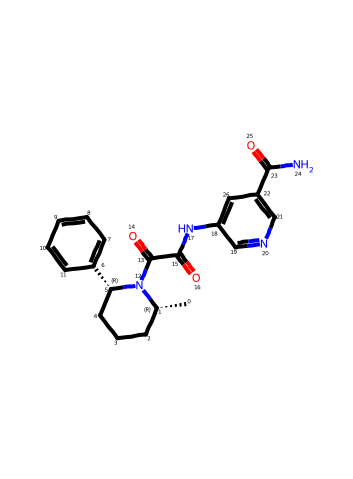 C[C@@H]1CCC[C@H](c2ccccc2)N1C(=O)C(=O)Nc1cncc(C(N)=O)c1